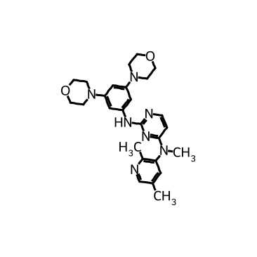 Cc1cnc(C)c(N(C)c2ccnc(Nc3cc(N4CCOCC4)cc(N4CCOCC4)c3)n2)c1